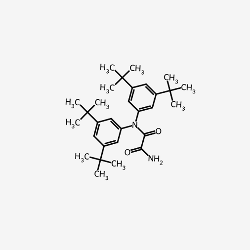 CC(C)(C)c1cc(N(C(=O)C(N)=O)c2cc(C(C)(C)C)cc(C(C)(C)C)c2)cc(C(C)(C)C)c1